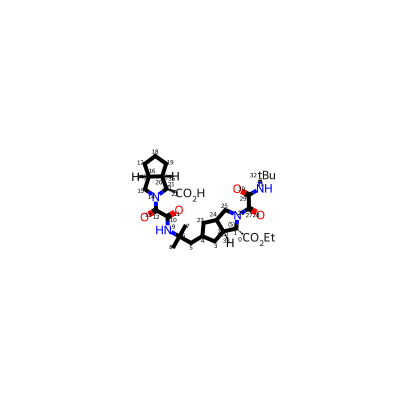 CCOC(=O)[C@@H]1[C@H]2CC(CC(C)(C)NC(=O)C(=O)N3C[C@@H]4CCC[C@@H]4[C@H]3C(=O)O)CC2CN1C(=O)C(=O)NC(C)(C)C